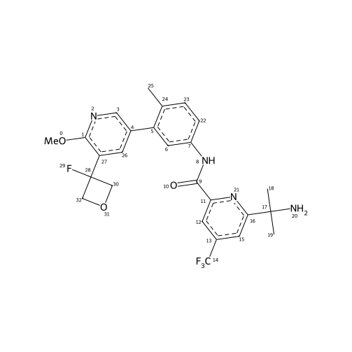 COc1ncc(-c2cc(NC(=O)c3cc(C(F)(F)F)cc(C(C)(C)N)n3)ccc2C)cc1C1(F)COC1